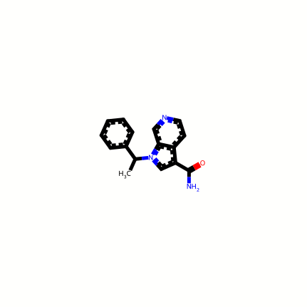 CC(c1ccccc1)n1cc(C(N)=O)c2ccncc21